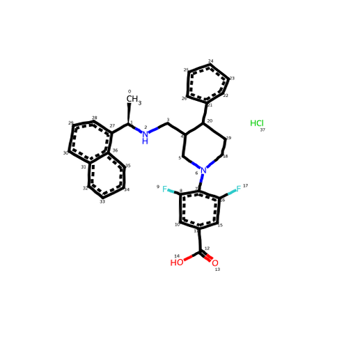 C[C@@H](NCC1CN(c2c(F)cc(C(=O)O)cc2F)CCC1c1ccccc1)c1cccc2ccccc12.Cl